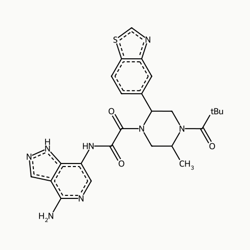 CC1CN(C(=O)C(=O)Nc2cnc(N)c3cn[nH]c23)C(c2ccc3scnc3c2)CN1C(=O)C(C)(C)C